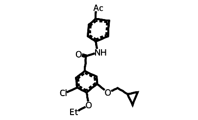 CCOc1c(Cl)cc(C(=O)Nc2ccc(C(C)=O)cc2)cc1OCC1CC1